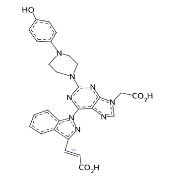 O=C(O)/C=C/c1nn(-c2nc(N3CCN(c4ccc(O)cc4)CC3)nc3c2ncn3CC(=O)O)c2ccccc12